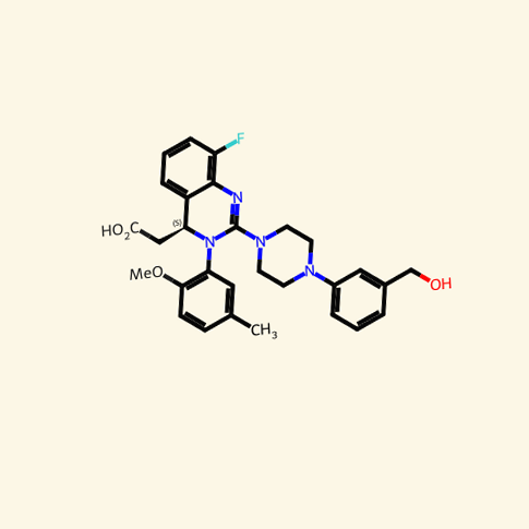 COc1ccc(C)cc1N1C(N2CCN(c3cccc(CO)c3)CC2)=Nc2c(F)cccc2[C@@H]1CC(=O)O